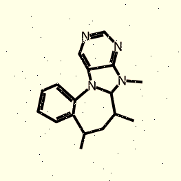 CC1CC(C)C2N(C)c3ncncc3N2c2ccccc21